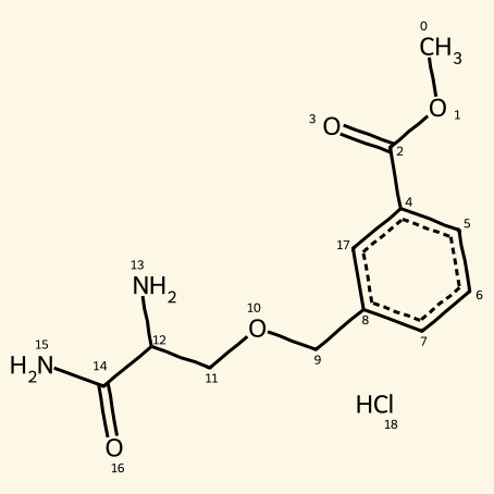 COC(=O)c1cccc(COCC(N)C(N)=O)c1.Cl